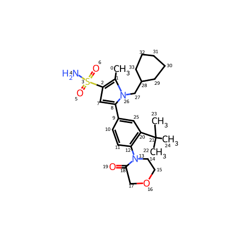 Cc1c(S(N)(=O)=O)cc(-c2ccc(N3CCOCC3=O)c(C(C)(C)C)c2)n1CC1CCCCC1